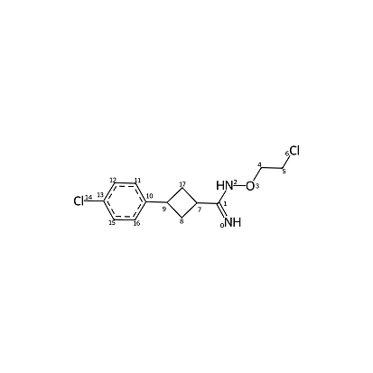 N=C(NOCCCl)C1CC(c2ccc(Cl)cc2)C1